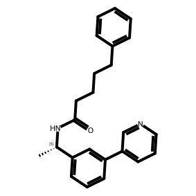 C[C@H](NC(=O)CCCCc1ccccc1)c1cccc(-c2cccnc2)c1